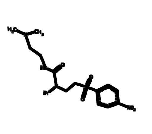 CC(C)N(CCS(=O)(=O)c1ccc([N+](=O)[O-])cc1)C(=O)NCCN(C)C